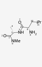 CNC(=O)[C@H](C)NC(=O)[C@@H](N)CC(C)C